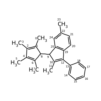 CC1=C(C)C(C)=C(C)[C]1C1C(C)=C(c2ccccc2)c2ccc(C)cc21